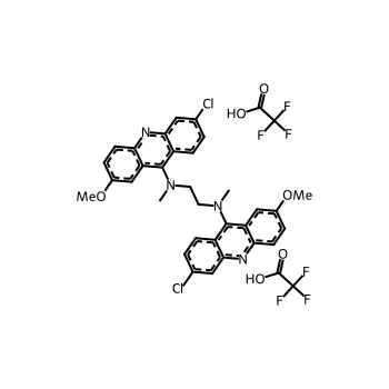 COc1ccc2nc3cc(Cl)ccc3c(N(C)CCN(C)c3c4ccc(Cl)cc4nc4ccc(OC)cc34)c2c1.O=C(O)C(F)(F)F.O=C(O)C(F)(F)F